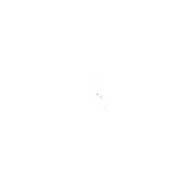 CC(C)=CC(=O)N1OCCc2ccccc2C1C